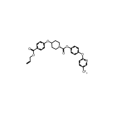 C=CCOC(=O)c1ccc(OC2CCN(C(=O)Oc3ccc(Oc4ccc(C(F)(F)F)cn4)cc3)CC2)cc1